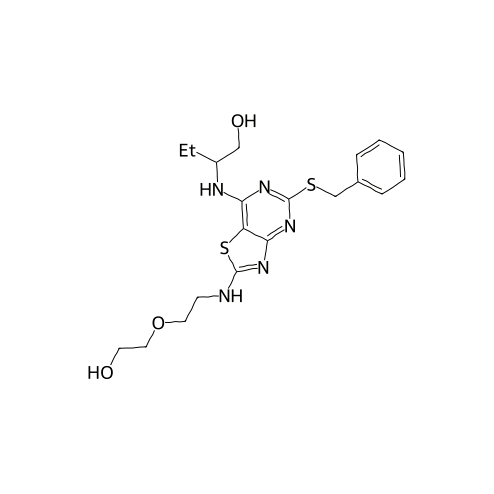 CCC(CO)Nc1nc(SCc2ccccc2)nc2nc(NCCOCCO)sc12